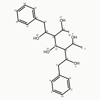 OC(I)C(C(O)Cc1ccccc1)N(O)C(C(O)I)C(O)Cc1ccccc1